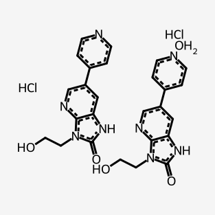 Cl.Cl.O.O=c1[nH]c2cc(-c3ccncc3)cnc2n1CCO.O=c1[nH]c2cc(-c3ccncc3)cnc2n1CCO